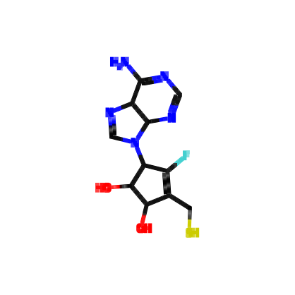 NC1=NC=NC2C1N=CN2C1C(F)=C(CS)C(O)C1O